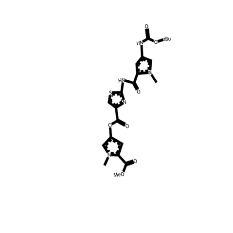 COC(=O)c1cc(OC(=O)c2csc(NC(=O)c3cc(NC(=O)OC(C)(C)C)cn3C)n2)cn1C